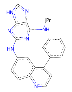 CC(C)Nc1nc(Nc2ccc3nccc(-c4ccccc4)c3c2)nc2[nH]cnc12